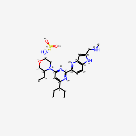 CCC(CC)c1cc(N2CCOCC2CC)nc(-c2ccc3[nH]c(CNC)cc3n2)n1.N[SH](=O)=O